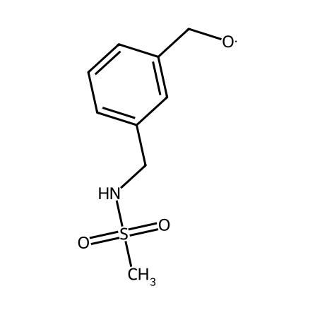 CS(=O)(=O)NCc1cccc(C[O])c1